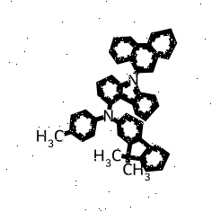 Cc1ccc(N(c2ccc3c(c2)C(C)(C)c2ccccc2-3)c2cccc3c2c2ccccc2n3-c2cc3ccccc3c3ccccc23)cc1